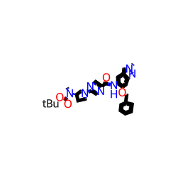 CN(C(=O)OC(C)(C)C)[C@@H]1CCN(c2cnc(C(=O)Nc3cc4cn(C)nc4cc3OCc3ccccc3)cn2)C1